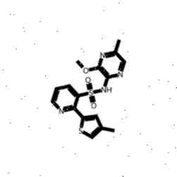 COc1nc(C)cnc1NS(=O)(=O)c1cccnc1-c1cc(C)cs1